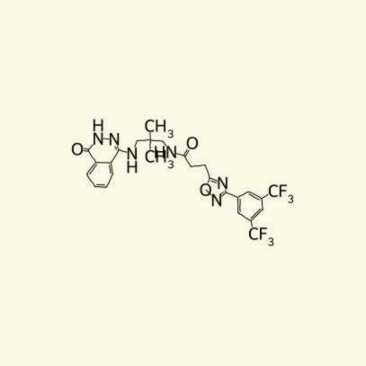 CC(C)(CNC(=O)CCc1nc(-c2cc(C(F)(F)F)cc(C(F)(F)F)c2)no1)CNc1n[nH]c(=O)c2ccccc12